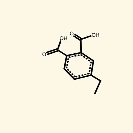 [CH2]Cc1ccc(C(=O)O)c(C(=O)O)c1